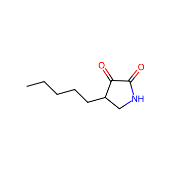 CCCCCC1CNC(=O)C1=O